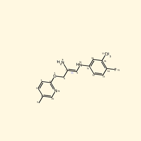 Cc1ccc(OC/C(N)=C/Nc2ccc(F)c(C(F)(F)F)c2)nc1